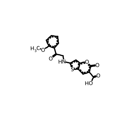 COc1ccccc1C(=O)CNc1cc2oc(=O)c(C(=O)O)cc2s1